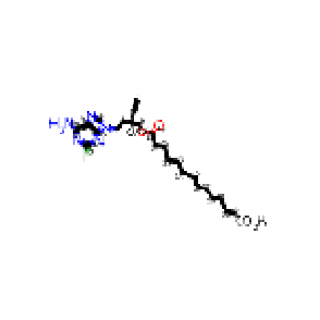 C#CC(CCn1cnc2c(N)nc(F)nc21)(COC(=O)CCCCCCCCCCCCC(=O)O)OC